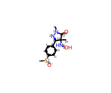 CN1N=C(c2ccc([S+](C)[O-])cc2)C(C)(NO)C1=O